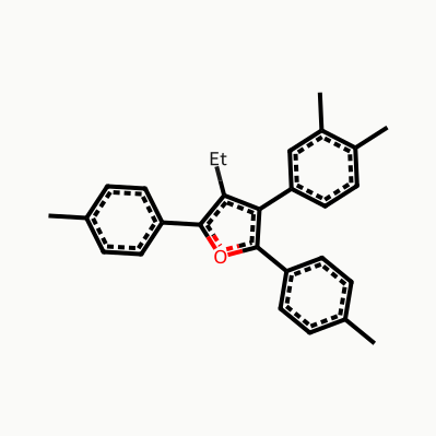 CCc1c(-c2ccc(C)cc2)oc(-c2ccc(C)cc2)c1-c1ccc(C)c(C)c1